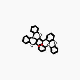 c1ccc(N2c3ccccc3Oc3cccc(-c4ccc5c6c4Oc4ccccc4B6c4ccccc4O5)c32)cc1